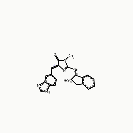 CN1C(=O)/C(=C/c2ccc3[nH]cnc3c2)N=C1N[C@H]1c2ccccc2C[C@@H]1O